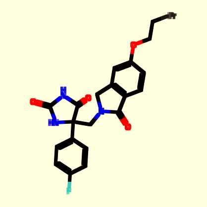 CC(C)CCOc1ccc2c(c1)CN(CC1(c3ccc(F)cc3)NC(=O)NC1=O)C2=O